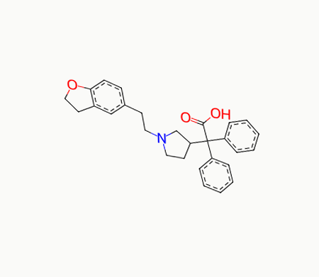 O=C(O)C(c1ccccc1)(c1ccccc1)C1CCN(CCc2ccc3c(c2)CCO3)C1